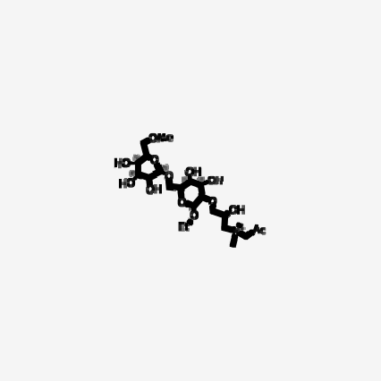 CCO[C@H]1OC(CO[C@H]2OC(COC)[C@@H](O)[C@@H](O)C2O)[C@@H](O)[C@@H](O)C1OCC(O)C[N+](C)(C)CC(C)=O